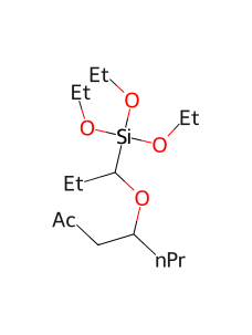 CCCC(CC(C)=O)OC(CC)[Si](OCC)(OCC)OCC